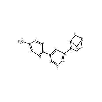 FC(F)(F)c1ccc(-c2cncc(N3CCN4CC3C4)c2)cc1